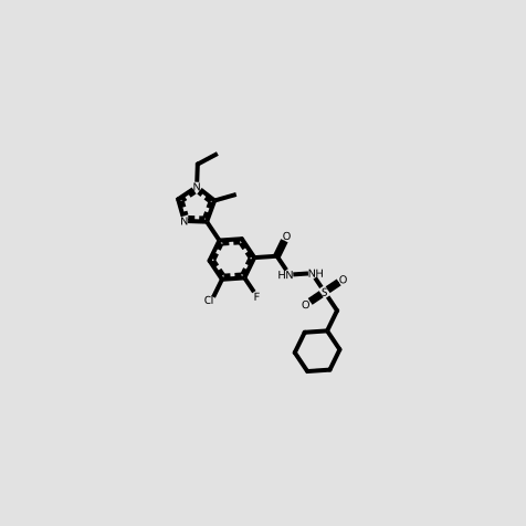 CCn1cnc(-c2cc(Cl)c(F)c(C(=O)NNS(=O)(=O)CC3CCCCC3)c2)c1C